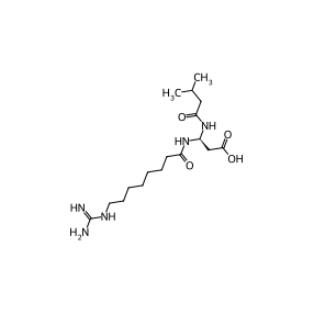 CC(C)CC(=O)N[C@@H](CC(=O)O)NC(=O)CCCCCCCNC(=N)N